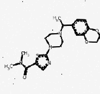 CC(c1ccc2c(c1)OCCO2)N1CCN(c2ncc(C(=O)N(C)C)s2)CC1